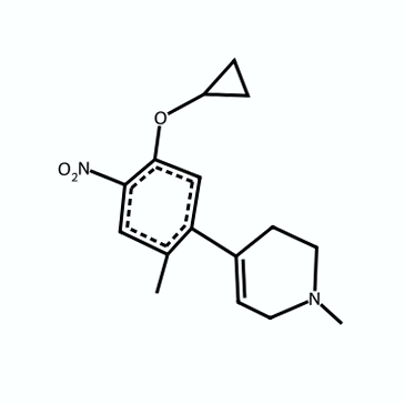 Cc1cc([N+](=O)[O-])c(OC2CC2)cc1C1=CCN(C)CC1